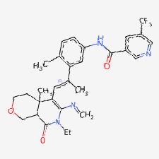 C=NC1=C(/C=C(\C)c2cc(NC(=O)c3cncc(C(F)(F)F)c3)ccc2C)C2(C)CCOCC2C(=O)N1CC